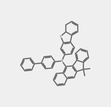 CC1(C)c2ccccc2-c2c1cc1ccccc1c2N(c1ccc(-c2ccccc2)cc1)c1ccc2c(c1)SC1CC=CC=C21